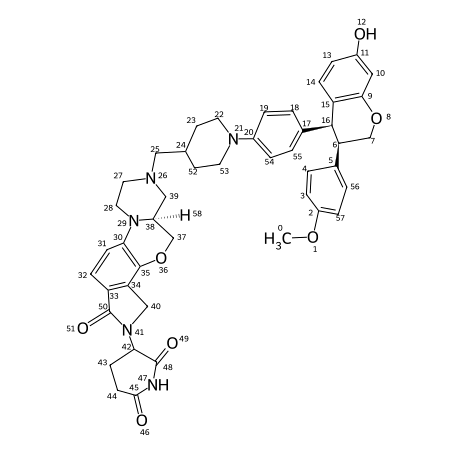 COc1ccc([C@@H]2COc3cc(O)ccc3[C@@H]2c2ccc(N3CCC(CN4CCN5c6ccc7c(c6OC[C@@H]5C4)CN(C4CCC(=O)NC4=O)C7=O)CC3)cc2)cc1